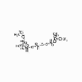 Cc1ncsc1-c1ccc(CNC(=O)[C@@H]2C[C@@H](O)CN2C(=O)C(NC(=O)CCOCCC(=O)NCCOCCOCCNC(=O)c2ccc3c(c2)c2cn(C)nc2n3-c2ccc(C(F)(F)F)cc2)C(C)(C)C)cc1